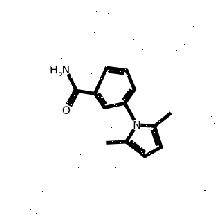 Cc1ccc(C)n1-c1cccc(C(N)=O)c1